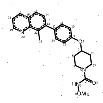 CONC(=O)N1CCC(Oc2ccc(-c3ccc4cccnc4c3C)cc2)CC1